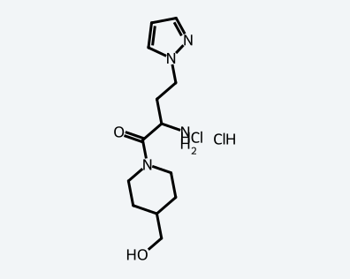 Cl.Cl.NC(CCn1cccn1)C(=O)N1CCC(CO)CC1